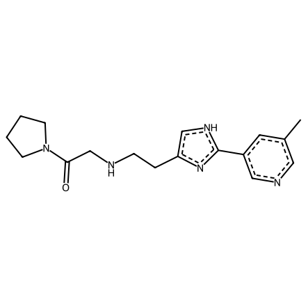 Cc1cncc(-c2nc(CCNCC(=O)N3CCCC3)c[nH]2)c1